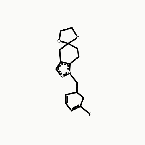 FC1=CC=CC(Cn2ncc3c2CCC2(C3)OCCO2)C1